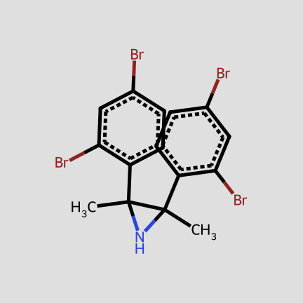 CC1(c2ccc(Br)cc2Br)NC1(C)c1ccc(Br)cc1Br